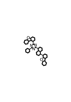 c1ccc(-c2nc(-c3cccc4c(-c5cccc6c5oc5ccccc56)cccc34)nc(-c3cccc4oc5ccccc5c34)n2)cc1